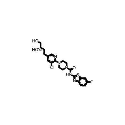 O=C(Nc1nc2ccc(F)cc2s1)N1CCN(c2ncc(CC[C@H](O)CO)cc2Cl)CC1